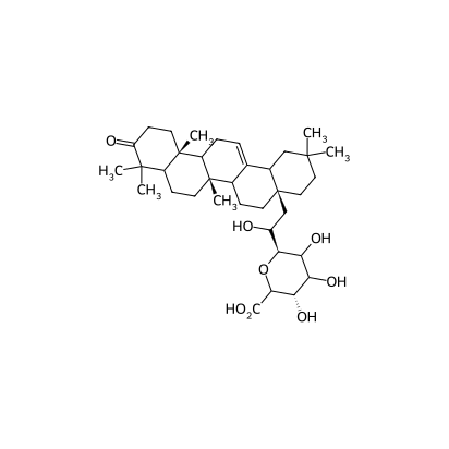 CC1(C)CC[C@]2(CC(O)[C@@H]3OC(C(=O)O)[C@@H](O)C(O)C3O)CCC3C(=CCC4[C@@]3(C)CCC3C(C)(C)C(=O)CC[C@@]34C)C2C1